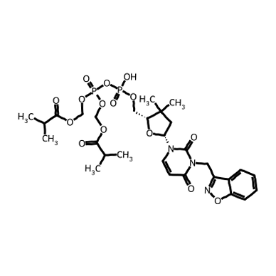 CC(C)C(=O)OCOP(=O)(OCOC(=O)C(C)C)OP(=O)(O)OC[C@H]1O[C@@H](n2ccc(=O)n(Cc3noc4ccccc34)c2=O)CC1(C)C